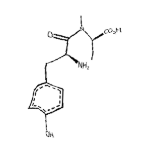 C[C@H](C(=O)O)N(C)C(=O)[C@@H](N)Cc1ccc(O)cc1